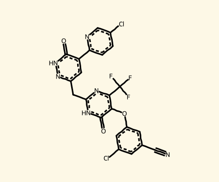 N#Cc1cc(Cl)cc(Oc2c(C(F)(F)F)nc(Cc3cc(-c4ccc(Cl)cn4)c(=O)[nH]n3)[nH]c2=O)c1